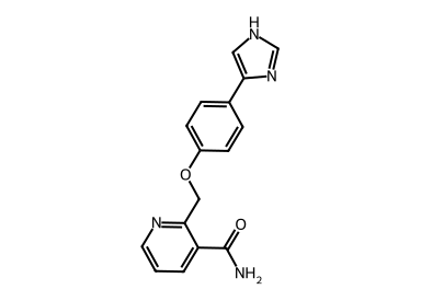 NC(=O)c1cccnc1COc1ccc(-c2c[nH]cn2)cc1